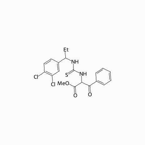 CCC(NC(=S)NC(C(=O)OC)C(=O)c1ccccc1)c1ccc(Cl)c(Cl)c1